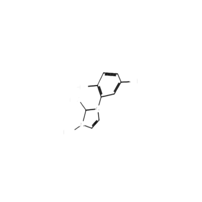 BC1N(C)C=CN1c1cc(C)ccc1C